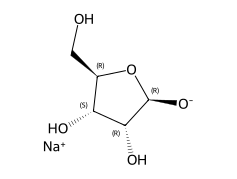 [Na+].[O-][C@@H]1O[C@H](CO)[C@@H](O)[C@H]1O